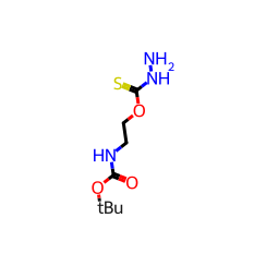 CC(C)(C)OC(=O)NCCOC(=S)NN